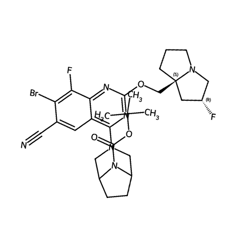 CC(C)(C)OC(=O)N1C2CCC1CN(c1nc(OC[C@@]34CCCN3C[C@H](F)C4)nc3c(F)c(Br)c(C#N)cc13)C2